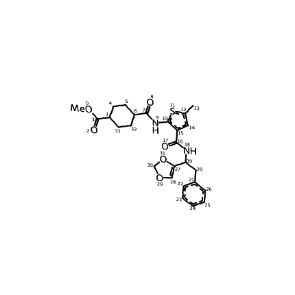 COC(=O)C1CCC(C(=O)Nc2sc(C)cc2C(=O)NC(Cc2ccccc2)C2=COCO2)CC1